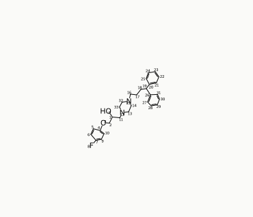 OC(COc1ccc(F)cc1)CN1CCN(CCCC(c2ccccc2)c2ccccc2)CC1